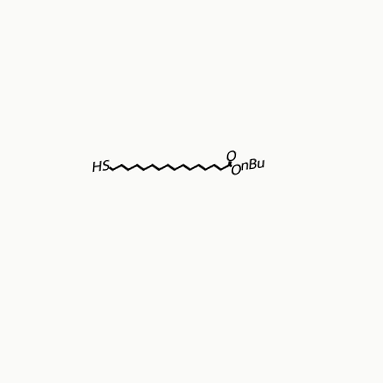 CCCCOC(=O)CCCCCCCCCCCCCCCS